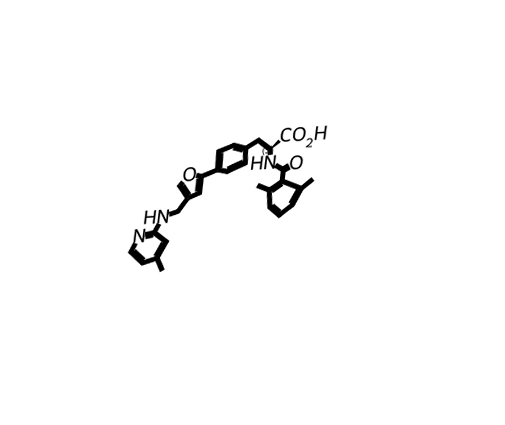 Cc1ccnc(NCc2coc(-c3ccc(C[C@H](NC(=O)c4c(C)cccc4C)C(=O)O)cc3)c2)c1